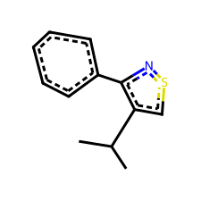 CC(C)c1csnc1-c1ccccc1